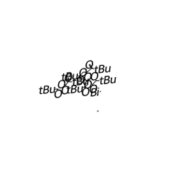 CC(C)(C)C(=O)OC(=O)C(=O)C(C)(C)C.CC(C)(C)C(=O)OC(=O)C(=O)C(C)(C)C.CC(C)(C)C(=O)OC(=O)C(=O)C(C)(C)C.[Bi]